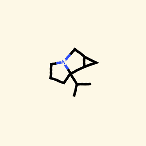 CC(C)C12CCCN1CC1CC12